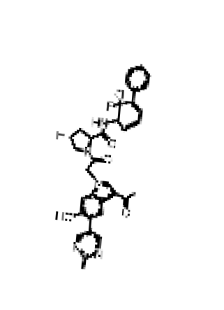 CC(=O)c1cn(CC(=O)N2C[C@H](F)CC2C(=O)NC2C=CC=C(c3ccccc3)C2(F)Cl)c2cc(O)c(-c3cnc(C)nc3)cc12